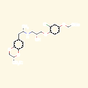 CCOC(=O)[C@H]1COc2cc(C[C@@H](C)NC[C@H](O)COc3ccc(OCOC)cc3Cl)ccc2O1